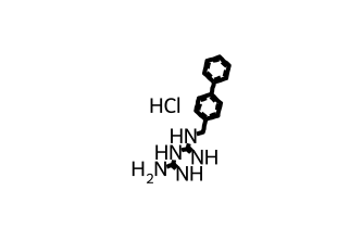 Cl.N=C(N)NC(=N)NCc1ccc(-c2ccccc2)cc1